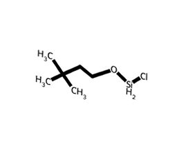 CC(C)(C)CCO[SiH2]Cl